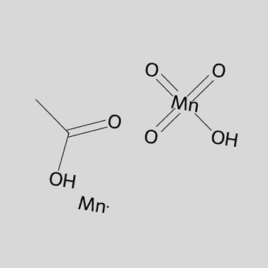 CC(=O)O.[Mn].[O]=[Mn](=[O])(=[O])[OH]